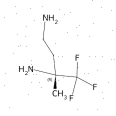 C[C@@](N)(CCN)C(F)(F)F